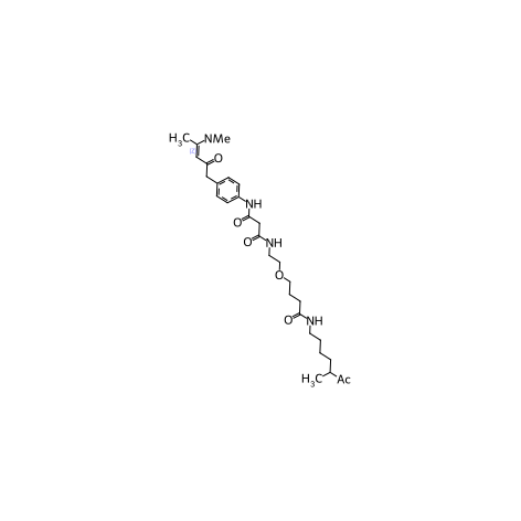 CN/C(C)=C\C(=O)Cc1ccc(NC(=O)CC(=O)NCCOCCCC(=O)NCCCCC(C)C(C)=O)cc1